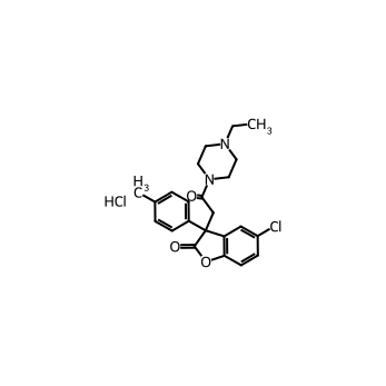 CCN1CCN(C(=O)CC2(c3ccc(C)cc3)C(=O)Oc3ccc(Cl)cc32)CC1.Cl